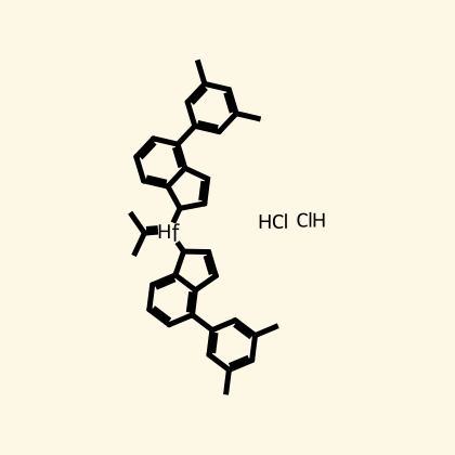 C[C](C)=[Hf]([CH]1C=Cc2c(-c3cc(C)cc(C)c3)cccc21)[CH]1C=Cc2c(-c3cc(C)cc(C)c3)cccc21.Cl.Cl